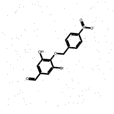 O=Cc1cc(O)c(OCc2ccc([N+](=O)[O-])cc2)c(Br)c1